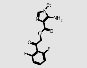 CCn1cnc(C(=O)OCC(=O)c2c(F)cccc2F)c1N